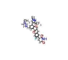 CCn1cc(-c2cc(CN3CCN(C)C3)cc3c2OCC(Cc2ccc(F)c(C4CCC(=O)NC4=O)c2)C3=O)c(C(F)(F)F)n1